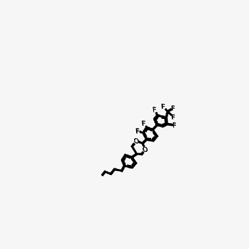 CCCCCc1ccc(C2COC(c3ccc(-c4cc(F)c(C(F)(F)F)c(F)c4)c(F)c3F)OC2)cc1